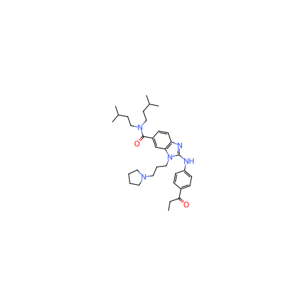 CCC(=O)c1ccc(Nc2nc3ccc(C(=O)N(CCC(C)C)CCC(C)C)cc3n2CCCN2CCCC2)cc1